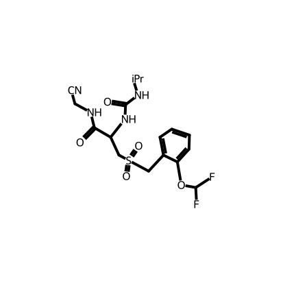 CC(C)NC(=O)NC(CS(=O)(=O)Cc1ccccc1OC(F)F)C(=O)NCC#N